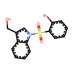 O=S(=O)(c1ccccc1Br)n1cc(CO)c2ccccc21